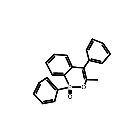 CC1=C(c2ccccc2)c2ccccc2P(=O)(c2ccccc2)O1